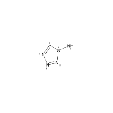 [NH]n1cnnn1